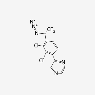 [N-]=[N+]=NC(c1ccc(-c2cnccn2)c(Cl)c1Cl)C(F)(F)F